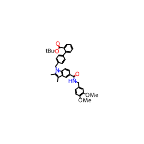 COc1ccc(CNC(=O)c2ccc3c(c2)c(C)c(C)n3Cc2ccc(-c3ccccc3C(=O)OC(C)(C)C)cc2)cc1OC